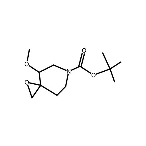 COC1CN(C(=O)OC(C)(C)C)CCC12CO2